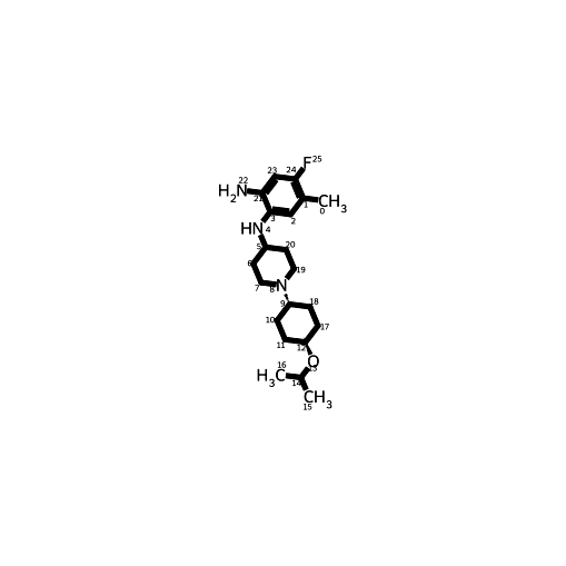 Cc1cc(NC2CCN([C@H]3CC[C@H](OC(C)C)CC3)CC2)c(N)cc1F